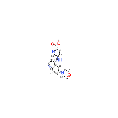 COC(=O)c1ccc(Nc2ccnc3ccc(N4CCOCC4)cc23)cn1